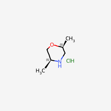 C[C@H]1CO[C@@H](C)CN1.Cl